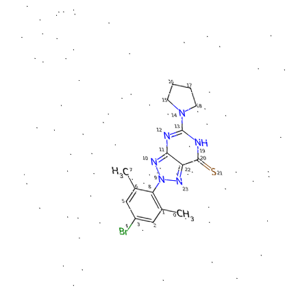 Cc1cc(Br)cc(C)c1-n1nc2nc(N3CCCC3)[nH]c(=S)c2n1